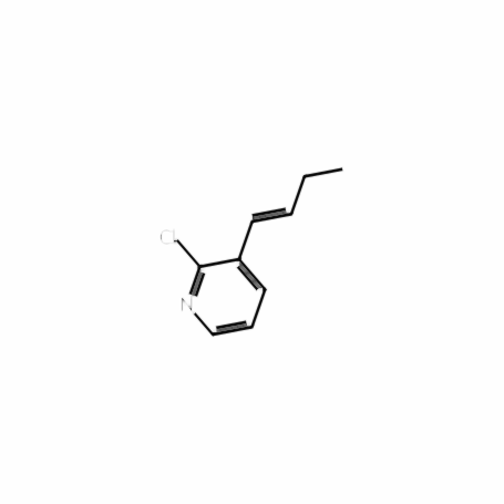 CC/C=C/c1cccnc1Cl